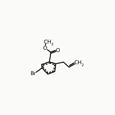 C=CCc1ccc(Br)cc1C(=O)OC